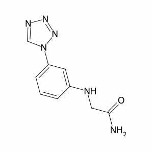 NC(=O)CNc1cccc(-n2cnnn2)c1